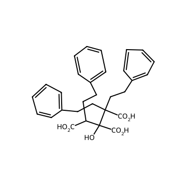 O=C(O)C(CCc1ccccc1)C(O)(C(=O)O)C(CCc1ccccc1)(CCc1ccccc1)C(=O)O